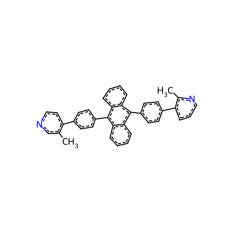 Cc1cnccc1-c1ccc(-c2c3ccccc3c(-c3ccc(-c4cccnc4C)cc3)c3ccccc23)cc1